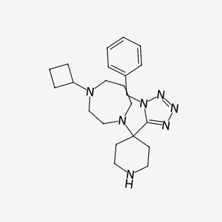 c1ccc(Cn2nnnc2C2(N3CCCN(C4CCC4)CC3)CCNCC2)cc1